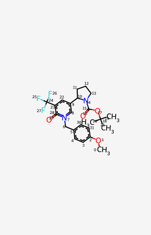 COc1ccc(Cn2cc(C3CCCN3C(=O)OC(C)(C)C)cc(C(F)(F)F)c2=O)cc1